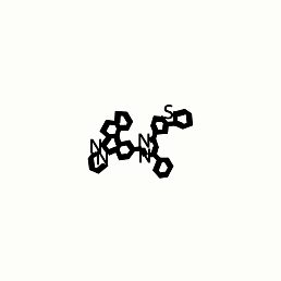 c1ccc(-c2cc(-c3ccc4sc5ccccc5c4c3)nc(-c3ccc4c(c3)c3c5ccccc5ccc3c3nc5ccccn5c43)n2)cc1